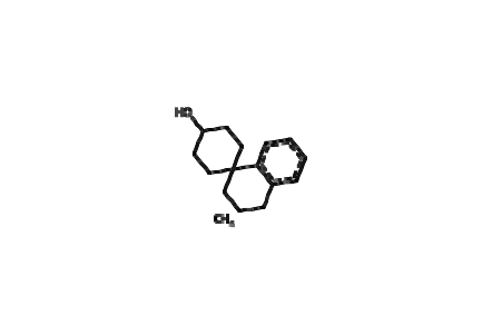 C.OC1CCC2(CCCc3ccccc32)CC1